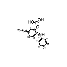 [N-]=[N+]=C1C=C(OP(O)O)C(Nc2ccccc2)=CC1